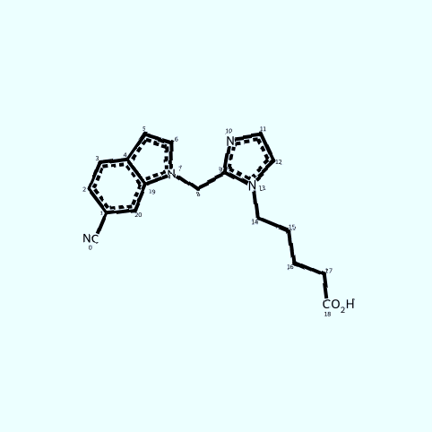 N#Cc1ccc2ccn(Cc3nccn3CCCCC(=O)O)c2c1